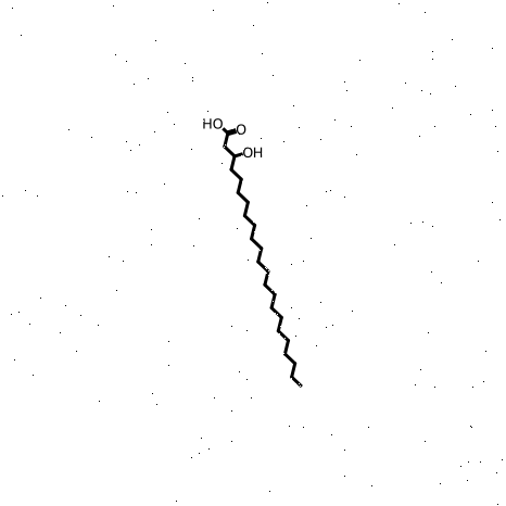 CCCCCCCCCCCCCCCCCCCCC(O)CC(=O)O